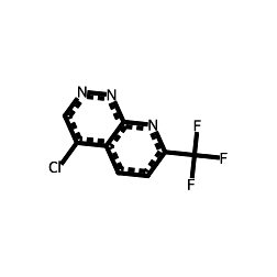 FC(F)(F)c1ccc2c(Cl)cnnc2n1